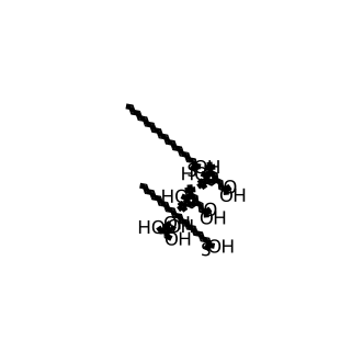 CC(C)(C)c1cc(CCC(=O)O)cc(C(C)(C)C)c1O.CC(C)(C)c1cc(CCC(=O)O)cc(C(C)(C)C)c1O.CCCCCCCCCCCCCCCCCCCCC(O)=S.CCCCCCCCCCCCCCCCCCCCC(O)=S.OCC(CO)(CO)CO